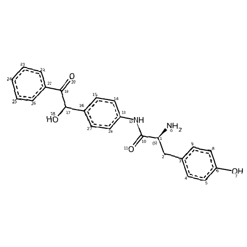 N[C@@H](Cc1ccc(O)cc1)C(=O)Nc1ccc(C(O)C(=O)c2ccccc2)cc1